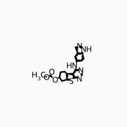 COC(=O)OC1CCc2c(sc3ncnc(Nc4ccc5[nH]ncc5c4)c23)C1